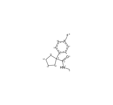 CNC(=O)C1(c2ccc(F)cc2)CCCC1